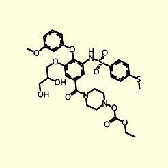 CCOC(=O)ON1CCN(C(=O)c2cc(NS(=O)(=O)c3ccc(SC)cc3)c(Oc3cccc(OC)c3)c(OCC(O)CO)c2)CC1